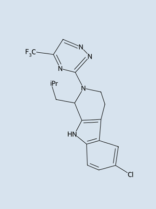 CC(C)CC1c2[nH]c3ccc(Cl)cc3c2CCN1c1nncc(C(F)(F)F)n1